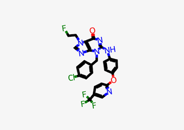 O=c1nc(Nc2ccc(Oc3ccc(C(F)(F)F)cn3)cc2)n(Cc2ccc(Cl)cc2)c2ncn(CCF)c12